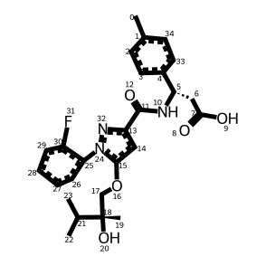 Cc1ccc([C@H](CC(=O)O)NC(=O)c2cc(OC[C@](C)(O)C(C)C)n(-c3ccccc3F)n2)cc1